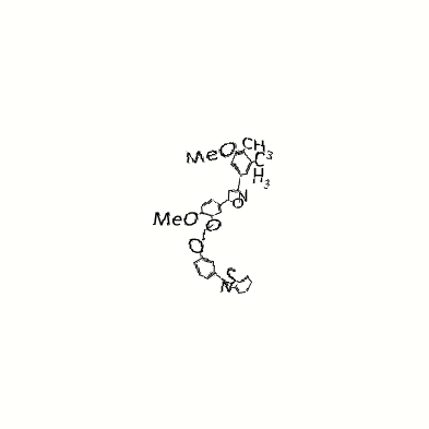 COc1ccc(C2CC(c3cc(C)c(C)c(OC)c3)=NO2)cc1OCCOc1cccc(-c2nc3ccccc3s2)c1